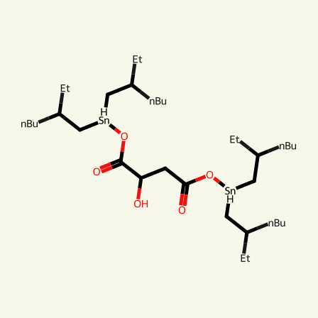 CCCCC(CC)[CH2][SnH]([CH2]C(CC)CCCC)[O]C(=O)CC(O)C(=O)[O][SnH]([CH2]C(CC)CCCC)[CH2]C(CC)CCCC